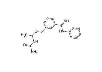 CC(NC(N)=O)OCc1cccc(C(=N)Nc2cccnc2)c1